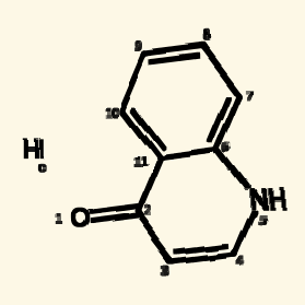 I.O=c1cc[nH]c2ccccc12